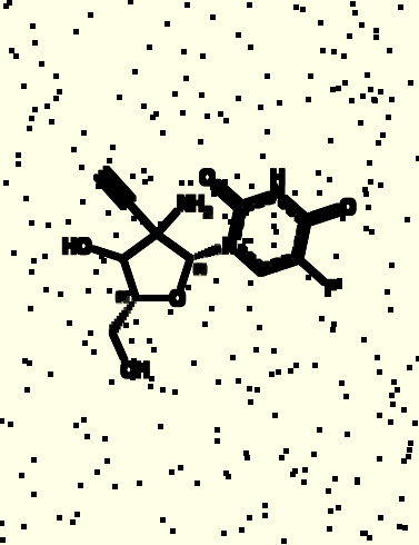 C#CC1(N)C(O)[C@@H](CO)O[C@H]1n1cc(F)c(=O)[nH]c1=O